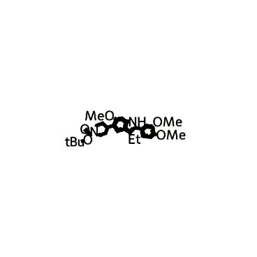 CCc1c(-c2ccc(OC)c(OC)c2)[nH]c2cc(OC)c(C3CCN(C(=O)OC(C)(C)C)CC3)cc12